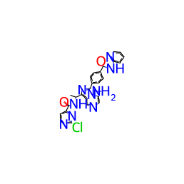 CC(NC(=O)c1ccnc(Cl)n1)C1=C2C=NC=C[N+]2(N)C(c2ccc(C(=O)Nc3ccccn3)cc2)=N1